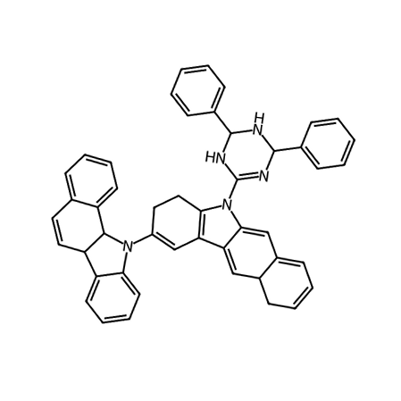 C1=CCC2C=c3c4c(n(C5=NC(c6ccccc6)NC(c6ccccc6)N5)c3=CC2=C1)CCC(N1c2ccccc2C2C=Cc3ccccc3C21)=C4